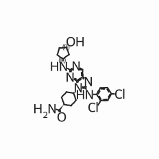 NC(=O)[C@H]1CC[C@@H](n2c(Nc3ccc(Cl)cc3Cl)nc3cnc(N[C@@H]4CC[C@@H](O)C4)nc32)CC1